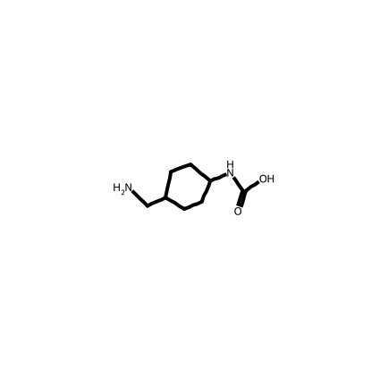 NCC1CCC(NC(=O)O)CC1